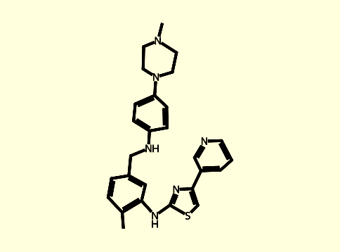 Cc1ccc(CNc2ccc(N3CCN(C)CC3)cc2)cc1Nc1nc(-c2cccnc2)cs1